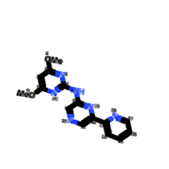 COc1cc(OC)nc(Nc2cncc(-c3ccccn3)n2)n1